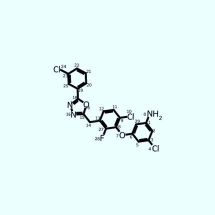 Nc1cc(Cl)cc(Oc2c(Cl)ccc(Cc3nnc(-c4cccc(Cl)c4)o3)c2F)c1